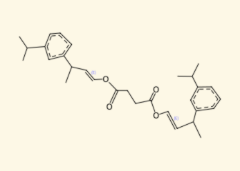 CC(C)c1cccc(C(C)/C=C/OC(=O)CCC(=O)O/C=C/C(C)c2cccc(C(C)C)c2)c1